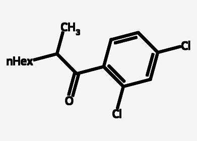 CCCCCCC(C)C(=O)c1ccc(Cl)cc1Cl